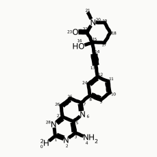 [2H]c1nc(N)c2nc(-c3cccc(C#CC4(O)CCCN(C)C4=O)c3)ccc2n1